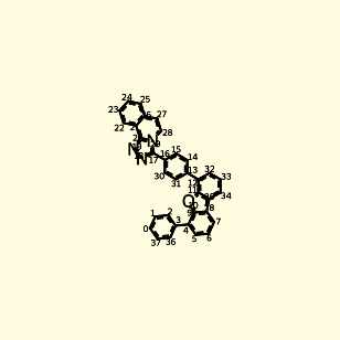 c1ccc(-c2cccc3c2oc2c(-c4ccc(-c5nnc6c7ccccc7ccn56)cc4)cccc23)cc1